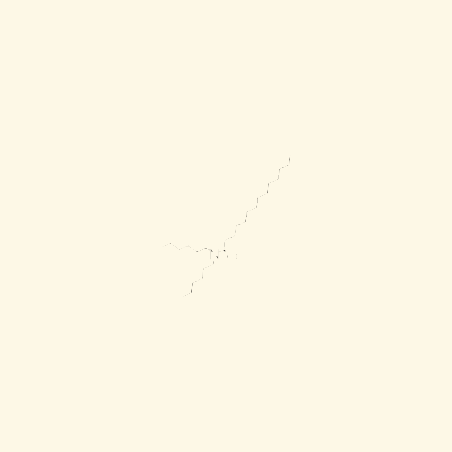 CCCCCCCCCCCCCC(=O)N(CCCCCC)CCCCCC